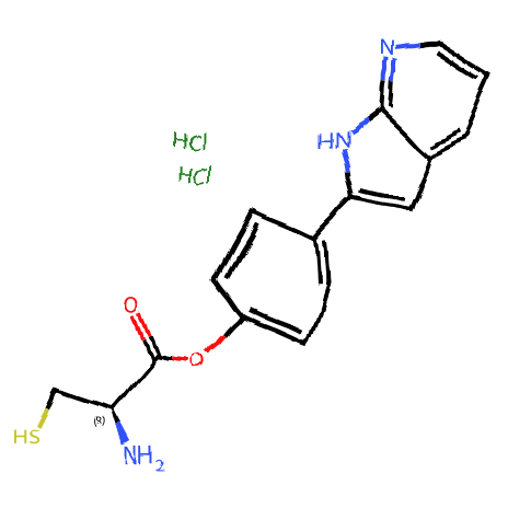 Cl.Cl.N[C@@H](CS)C(=O)Oc1ccc(-c2cc3cccnc3[nH]2)cc1